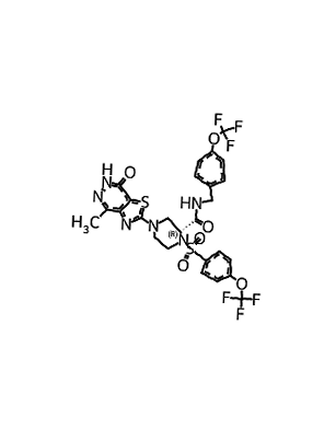 Cc1n[nH]c(=O)c2sc(N3CCN(S(=O)(=O)c4ccc(OC(F)(F)F)cc4)[C@@H](C(=O)NCc4ccc(OC(F)(F)F)cc4)C3)nc12